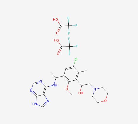 COc1c(C(C)Nc2ncnc3[nH]cnc23)cc(Cl)c(C)c1C(O)CN1CCOCC1.O=C(O)C(F)(F)F.O=C(O)C(F)(F)F